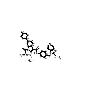 Cc1nc2cnccc2n1Cc1ccc(NC(=O)c2cn(C(=O)N(C)C)c3cc(-c4ccc(F)cc4)ccc23)cc1.Cl